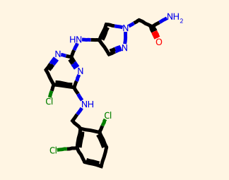 NC(=O)Cn1cc(Nc2ncc(Cl)c(NCc3c(Cl)cccc3Cl)n2)cn1